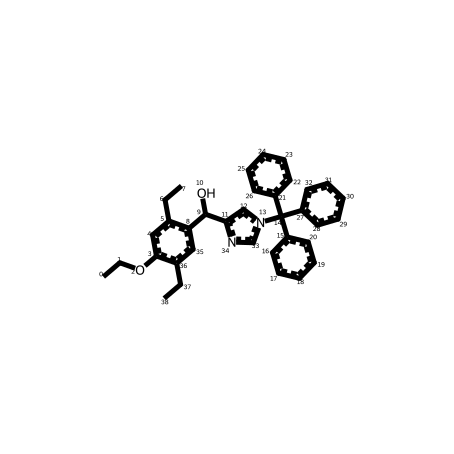 CCOc1cc(CC)c(C(O)c2cn(C(c3ccccc3)(c3ccccc3)c3ccccc3)cn2)cc1CC